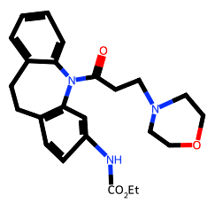 CCOC(=O)Nc1ccc2c(c1)N(C(=O)CCN1CCOCC1)c1ccccc1CC2